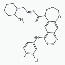 CC1CCCCN1C/C=C/C(=O)N1CCCOc2cc3ncnc(Nc4ccc(F)c(Cl)c4)c3cc21